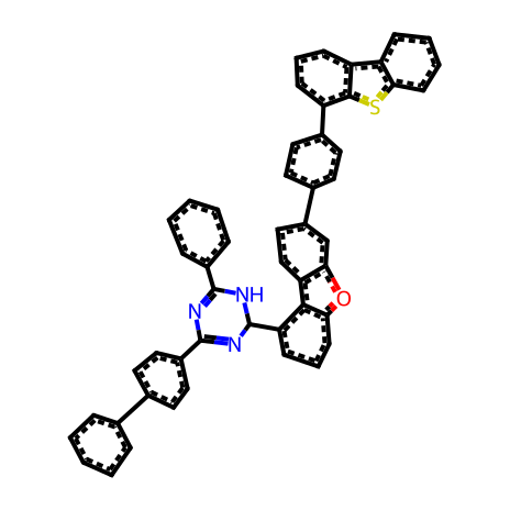 c1ccc(C2=NC(c3ccc(-c4ccccc4)cc3)=NC(c3cccc4oc5cc(-c6ccc(-c7cccc8c7sc7ccccc78)cc6)ccc5c34)N2)cc1